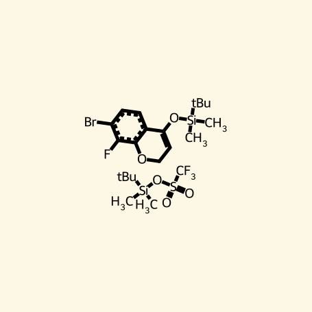 CC(C)(C)[Si](C)(C)OC1=CCOc2c1ccc(Br)c2F.CC(C)(C)[Si](C)(C)OS(=O)(=O)C(F)(F)F